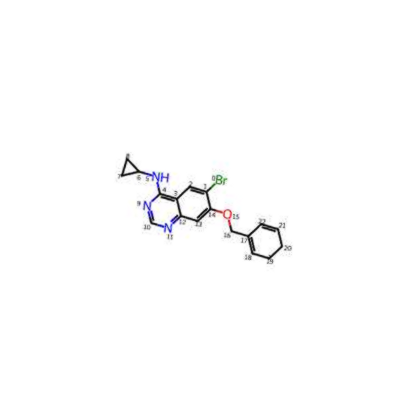 Brc1cc2c(NC3CC3)ncnc2cc1OCC1=C[CH]CC=C1